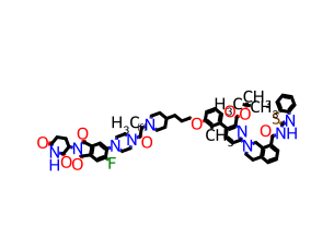 Cc1c(OCCCC2CCN([C@@H](C)C(=O)N3CCN(c4cc5c(cc4F)C(=O)N(C4CCC(=O)NC4=O)C5=O)CC3)CC2)cccc1-c1ccc(N2CCc3cccc(C(=O)Nc4nc5ccccc5s4)c3C2)nc1C(=O)OC(C)(C)C